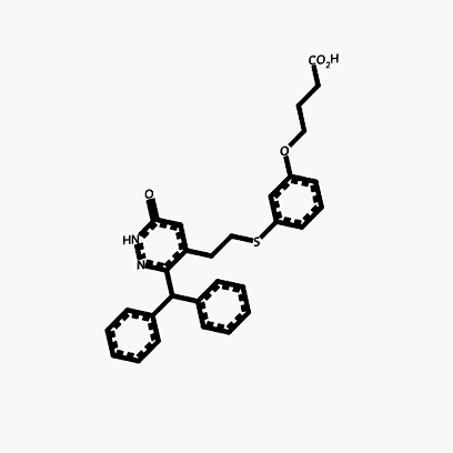 O=C(O)CCCOc1cccc(SCCc2cc(=O)[nH]nc2C(c2ccccc2)c2ccccc2)c1